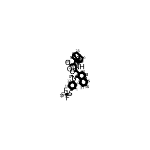 CN(c1ccc(SC(F)(F)F)cc1)c1c(C(=O)N[C@H](C(=O)O)C23CC4CC(CC(C4)C2)C3)ccc2ccccc12